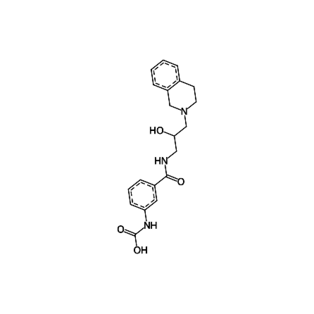 O=C(O)Nc1cccc(C(=O)NCC(O)CN2CCc3ccccc3C2)c1